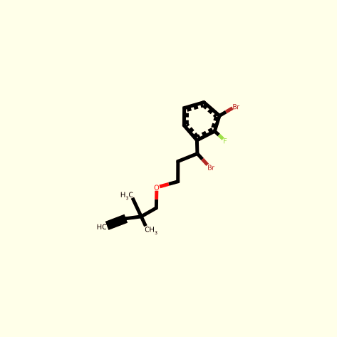 C#CC(C)(C)COCCC(Br)c1cccc(Br)c1F